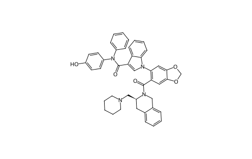 O=C(c1cn(-c2cc3c(cc2C(=O)N2Cc4ccccc4C[C@H]2CN2CCCCC2)OCO3)c2ccccc12)N(c1ccccc1)c1ccc(O)cc1